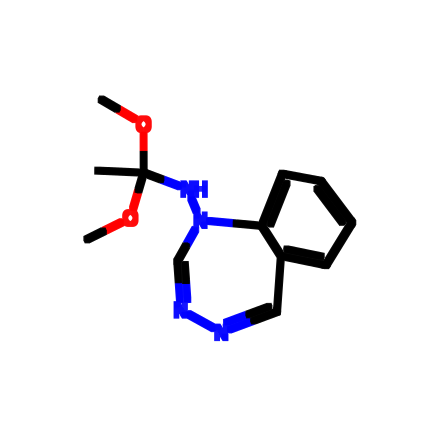 COC(C)(NN1C=NN=Cc2ccccc21)OC